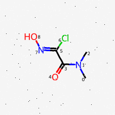 CN(C)C(=O)C(Cl)=NO